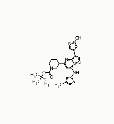 Cc1csc(Nc2cc(C3CCCN(C(=O)OC(C)(C)C)C3)nc3c(-c4cnn(C)c4)cnn23)c1